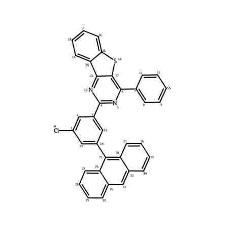 Clc1cc(-c2nc(-c3ccccc3)c3sc4ccccc4c3n2)cc(-c2c3ccccc3cc3ccccc23)c1